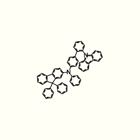 c1ccc(N(c2ccc(-c3ccccc3-n3c4ccccc4c4ccccc43)cc2)c2ccc3c(c2)C(c2ccccc2)(c2ccccc2)c2ccccc2-3)cc1